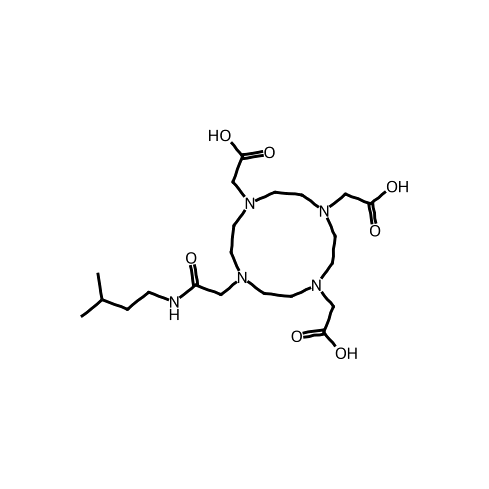 CC(C)CCNC(=O)CN1CCN(CC(=O)O)CCN(CC(=O)O)CCN(CC(=O)O)CC1